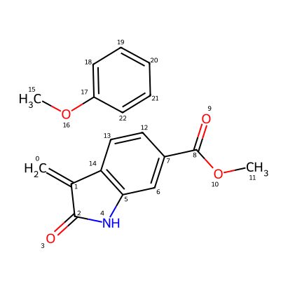 C=C1C(=O)Nc2cc(C(=O)OC)ccc21.COc1ccccc1